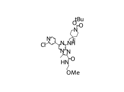 COCCNC(=O)c1nc2c(NCC3(F)CCN(C(=O)OC(C)(C)C)CC3)nc(-c3ccnc(Cl)c3)cn2c1C